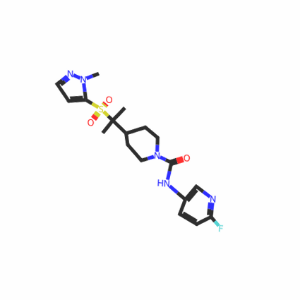 Cn1nccc1S(=O)(=O)C(C)(C)C1CCN(C(=O)Nc2ccc(F)nc2)CC1